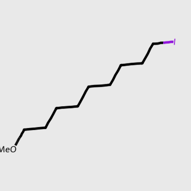 COCCCCCCCCCI